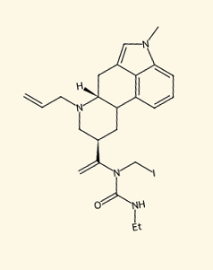 C=CCN1C[C@H](C(=C)N(CI)C(=O)NCC)CC2c3cccc4c3c(cn4C)C[C@H]21